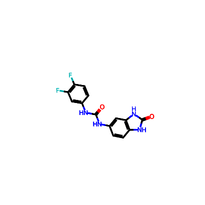 O=C(Nc1ccc(F)c(F)c1)Nc1ccc2[nH]c(=O)[nH]c2c1